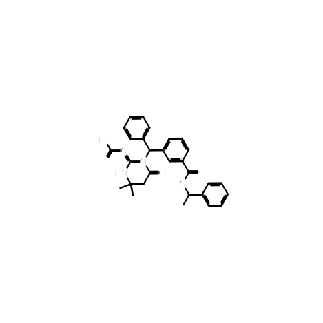 CC(NC(=O)c1cccc(C(c2ccccc2)N2C(=O)CC(C)(C)NC2=NC(=O)O)c1)c1ccccc1